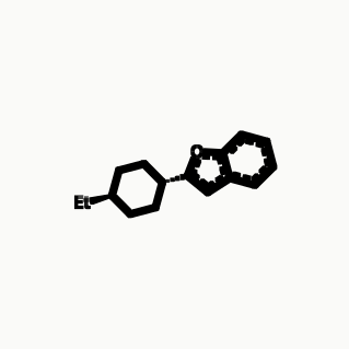 CC[C@H]1CC[C@H](c2cc3ccccc3o2)CC1